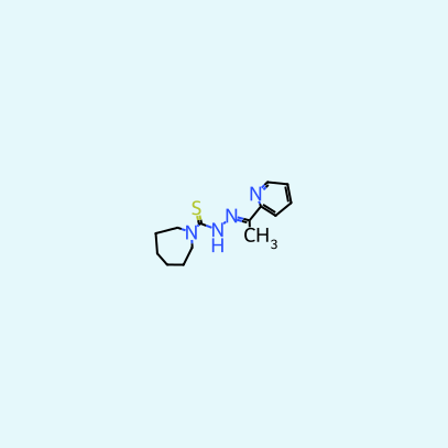 C/C(=N\NC(=S)N1CCCCCC1)c1ccccn1